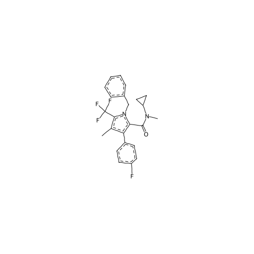 Cc1c(-c2ccc(F)cc2)c(C(=O)N(C)C2CC2)n(Cc2ccccc2)c1C(F)(F)F